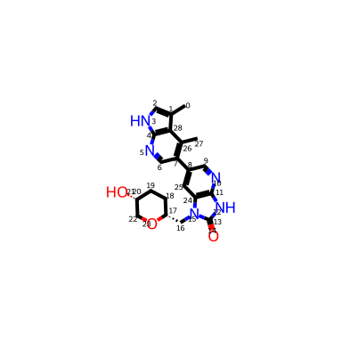 Cc1c[nH]c2ncc(-c3cnc4[nH]c(=O)n(C[C@H]5CC[C@@H](O)CO5)c4c3)c(C)c12